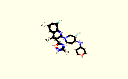 Cc1cc(F)c2nc(N3CC[C@H](NC4CCOCC4)[C@H](F)C3)c(-c3nc(C)no3)c(C)c2c1